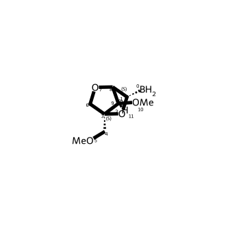 B[C@@H]1O[C@@]2(COC)COC1[C@H]2OC